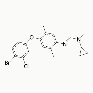 Cc1cc(Oc2ccc(Br)c(Cl)c2)c(C)cc1N=CN(C)C1CC1